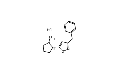 CN1CCC[C@H]1c1cc(Cc2ccccc2)no1.Cl